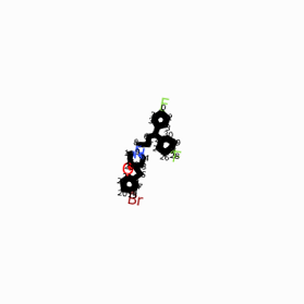 Fc1ccc(C(CCCN2CCC3(CC2)Cc2cc(Br)ccc2O3)c2ccc(F)cc2)cc1